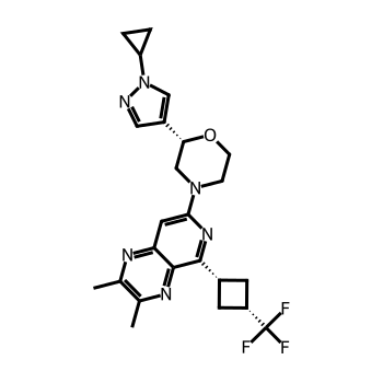 Cc1nc2cc(N3CCO[C@@H](c4cnn(C5CC5)c4)C3)nc([C@H]3C[C@@H](C(F)(F)F)C3)c2nc1C